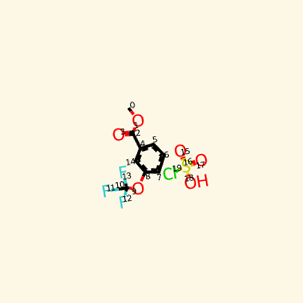 COC(=O)c1cccc(OC(F)(F)F)c1.O=S(=O)(O)Cl